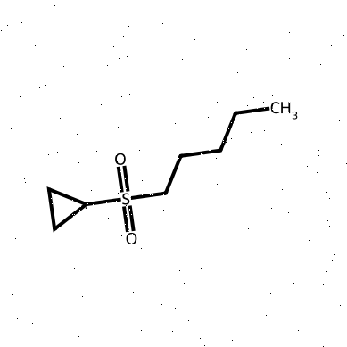 CCCCCS(=O)(=O)[C]1CC1